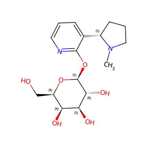 CN1CCC[C@H]1c1cccnc1O[C@@H]1O[C@H](CO)[C@H](O)[C@H](O)[C@H]1O